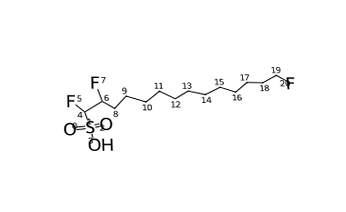 O=S(=O)(O)C(F)C(F)CCCCCCCCCCCCF